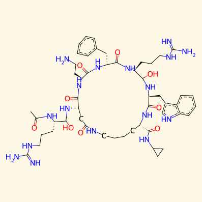 CC(=O)N[C@@H](CCCNC(=N)N)C(O)N[C@H]1CC(=O)NCCCC[C@@H](C(=O)NC2CC2)NC(=O)[C@H](Cc2c[nH]c3ccccc23)NC(O)[C@H](CCCNC(=N)N)NC(=O)[C@@H](Cc2ccccc2)NC(=O)[C@H](CCN)NC1=O